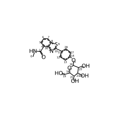 CNC(=O)c1cccc2sc(-c3ccc(OC4OC(CO)C(O)C(O)C4O)cc3)nc12